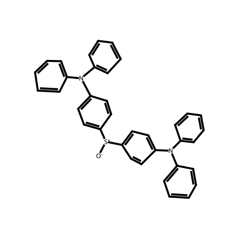 [O-][S+](c1ccc(N(c2ccccc2)c2ccccc2)cc1)c1ccc(N(c2ccccc2)c2ccccc2)cc1